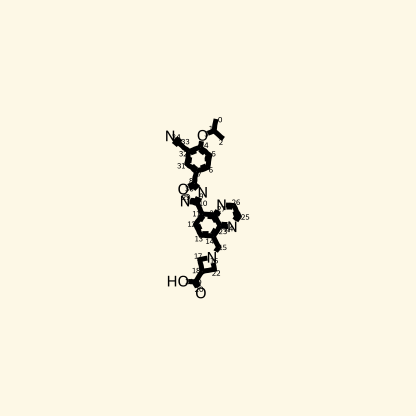 CC(C)Oc1ccc(-c2nc(-c3ccc(CN4CC(C(=O)O)C4)c4nccnc34)no2)cc1C#N